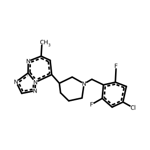 Cc1cc(C2CCCN(Cc3c(F)cc(Cl)cc3F)C2)n2ncnc2n1